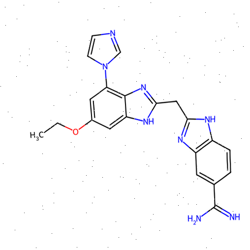 CCOc1cc(-n2ccnc2)c2nc(Cc3nc4cc(C(=N)N)ccc4[nH]3)[nH]c2c1